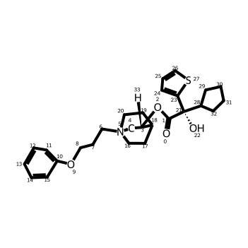 O=C(O[C@H]1C[N+]2(CCCOc3ccccc3)CCC1CC2)[C@@](O)(c1cccs1)C1CCCC1